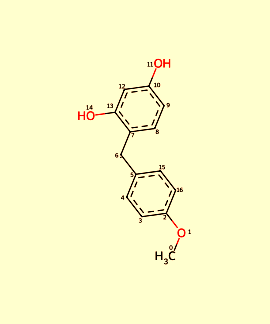 COc1ccc([CH]c2ccc(O)cc2O)cc1